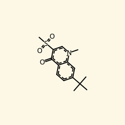 Cn1cc(S(C)(=O)=O)c(=O)c2ccc(C(C)(C)C)cc21